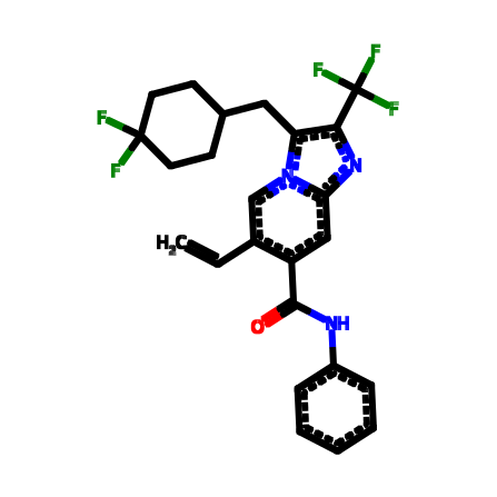 C=Cc1cn2c(CC3CCC(F)(F)CC3)c(C(F)(F)F)nc2cc1C(=O)Nc1ccccc1